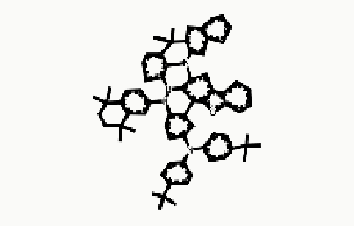 CC(C)(C)c1ccc(N(c2ccc(C(C)(C)C)cc2)c2ccc3c(c2)-c2c4c(cc5c2oc2ccccc25)N2c5cc6ccccc6cc5C(C)(C)c5cccc(c52)B4N3c2ccc3c(c2)C(C)(C)CCC3(C)C)cc1